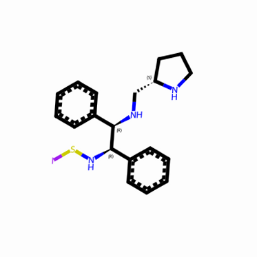 ISN[C@H](c1ccccc1)[C@H](NC[C@@H]1CCCN1)c1ccccc1